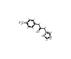 O=C(Cc1ccc(C(F)(F)F)cc1)Cn1cncn1